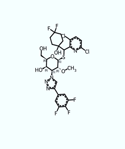 CO[C@@H]1[C@@H](n2cc(-c3cc(F)c(F)c(F)c3)nn2)[C@@H](O)[C@@H](CO)O[C@H]1SC(c1nc(Cl)ccc1Cl)C1(O)CCC(F)(F)CC1